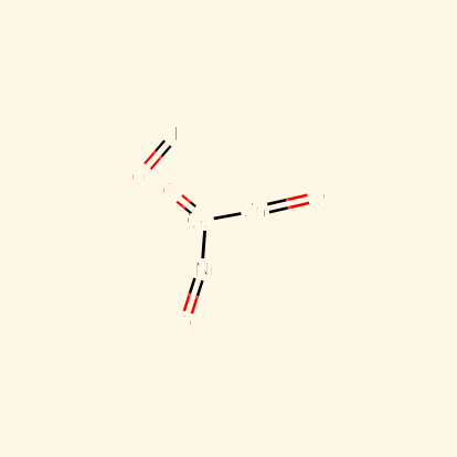 [O]=[Ni][Co](=[O])[Zn]=[O].[O]=[Ti]